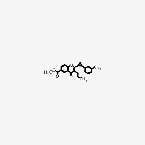 CCCc1c(C2CC2c2cccc(C)c2)oc2ccc(C(=O)OC)cc2c1=O